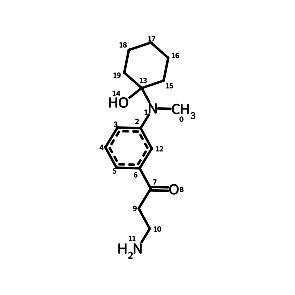 CN(c1cccc(C(=O)CCN)c1)C1(O)CCCCC1